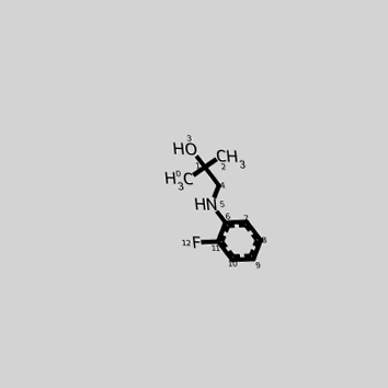 CC(C)(O)CNc1ccccc1F